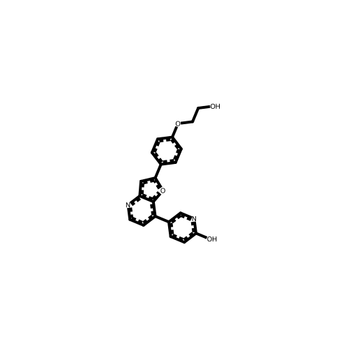 OCCOc1ccc(-c2cc3nccc(-c4ccc(O)nc4)c3o2)cc1